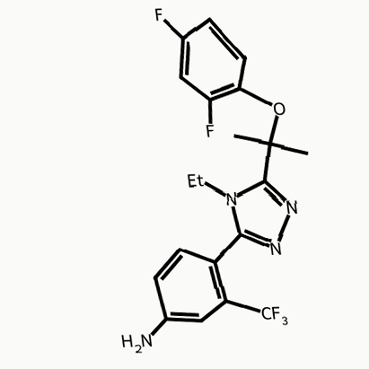 CCn1c(-c2ccc(N)cc2C(F)(F)F)nnc1C(C)(C)Oc1ccc(F)cc1F